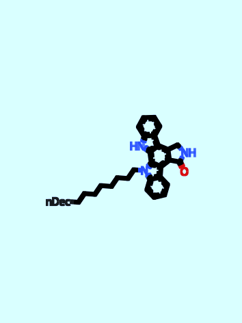 CCCCCCCCCCCCCCCCCCn1c2ccccc2c2c3c(c4c5ccccc5[nH]c4c21)CNC3=O